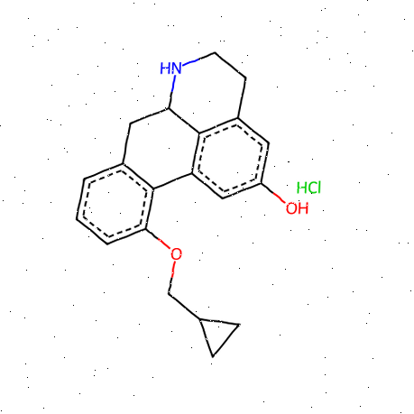 Cl.Oc1cc2c3c(c1)-c1c(cccc1OCC1CC1)CC3NCC2